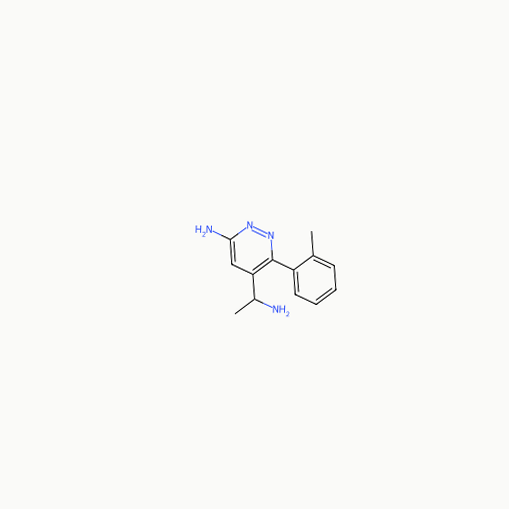 Cc1ccccc1-c1nnc(N)cc1C(C)N